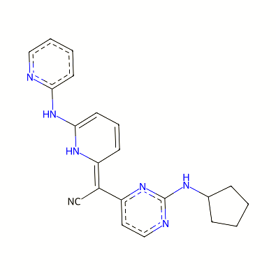 N#CC(=C1C=CC=C(Nc2ccccn2)N1)c1ccnc(NC2CCCC2)n1